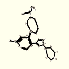 NC(=O)[C@@H]1CCCN(c2cc(Cl)ncc2-c2cnn(C3CCOCC3)c2)C1